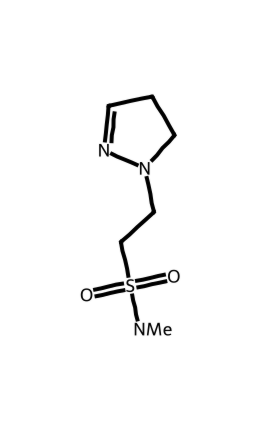 CNS(=O)(=O)CCN1CCC=N1